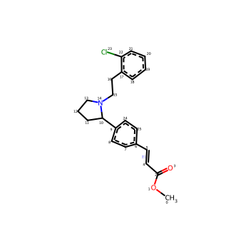 COC(=O)/C=C/c1ccc(C2CCCN2CCc2ccccc2Cl)cc1